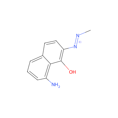 C/N=N/c1ccc2cccc(N)c2c1O